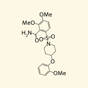 COc1ccccc1OC1CCN(S(=O)(=O)c2ccc(OC)c(OC)c2C(N)=O)CC1